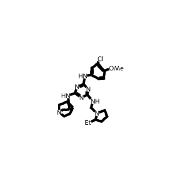 CCC1CCCN1CNc1nc(Nc2ccc(OC)c(Cl)c2)nc(NC2CN3CCC2CC3)n1